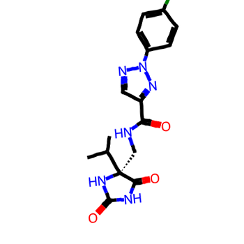 CC(C)[C@]1(CNC(=O)c2cnn(-c3ccc(F)cc3)n2)NC(=O)NC1=O